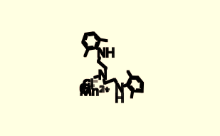 Cc1cccc(C)c1NCCN(C)CCNc1c(C)cccc1C.[Cl-].[Cl-].[Mn+2]